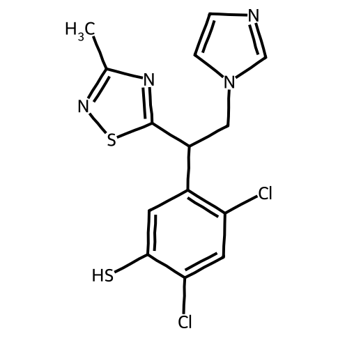 Cc1nsc(C(Cn2ccnc2)c2cc(S)c(Cl)cc2Cl)n1